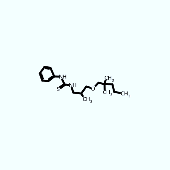 CCCC(C)(C)COCC(C)CNC(=S)Nc1ccccc1